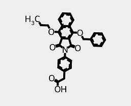 CCCOc1c2c(c(OCc3ccccc3)c3ccccc13)C(=O)N(c1ccc(CC(=O)O)cc1)C2=O